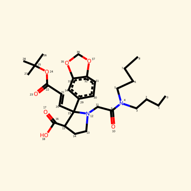 CCCCN(CCCC)C(=O)CN1CCC(C(=O)O)C1(C=CC(=O)OC(C)(C)C)c1ccc2c(c1)OCO2